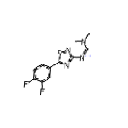 CN(C)/C=N\c1nsc(-c2ccc(F)c(F)c2)n1